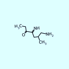 CCC(=O)C(=N)CC(C)CN